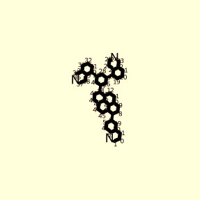 c1cnc2ccc(-c3ccc4ccc5c(-c6cc(-c7cccc8cnccc78)cc(-c7cccc8cnccc78)c6)ccc6ccc3c4c65)cc2c1